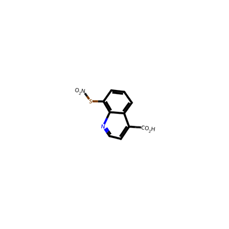 O=C(O)c1ccnc2c(S[N+](=O)[O-])cccc12